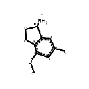 COc1cc(C)cc2c1CCC2N